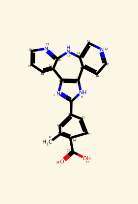 Cc1cc(-c2nc3c([nH]2)-c2ccncc2Nc2ncccc2-3)ccc1C(=O)O